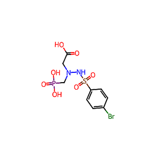 O=C(O)CN(CP(=O)(O)O)NS(=O)(=O)c1ccc(Br)cc1